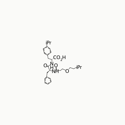 CC(C)CCOCCC(=O)N[C@@H](Cc1ccccc1)C(=O)N[C@H](Cc1ccc(C(C)C)cc1)C(=O)O